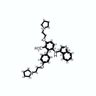 Cc1c(OCCN2CCCC2)ccc(Nc2csc3ccccc23)c1-c1ccc(OCCN2CCCC2)cc1